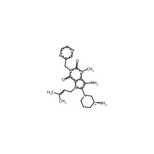 CC(C)=CCn1c(N2CCC[C@H](N)C2)c(N)c2c1c(=O)n(Cc1cnccn1)c(=O)n2C